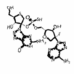 Nc1nc2c(nnn2[C@]2(OP(=O)(S)OC[C@H]3OC[C@](F)(n4nnc5c(N)ncnc54)[C@@H]3O)CS[C@H](CO)[C@H]2O)c(=O)[nH]1